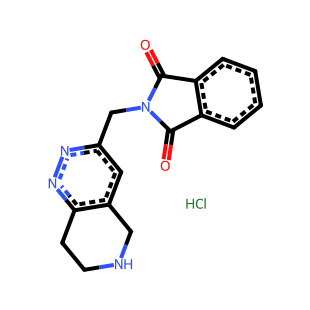 Cl.O=C1c2ccccc2C(=O)N1Cc1cc2c(nn1)CCNC2